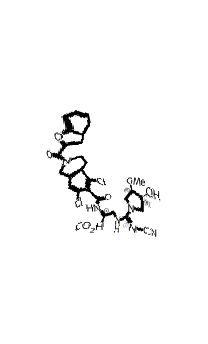 CO[C@@H]1CN(/C(=N\C#N)NC[C@H](NC(=O)c2c(Cl)cc3c(c2Cl)CCN(C(=O)c2cc4ccccc4o2)C3)C(=O)O)C[C@H]1O